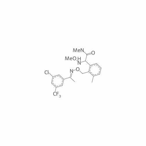 CNC(=O)C(NOC)c1cccc(C)c1CO/N=C(\C)c1cc(Cl)cc(C(F)(F)F)c1